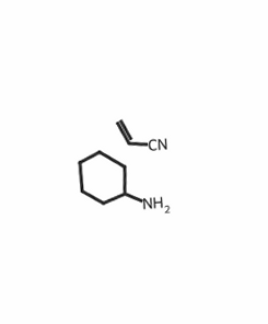 C=CC#N.NC1CCCCC1